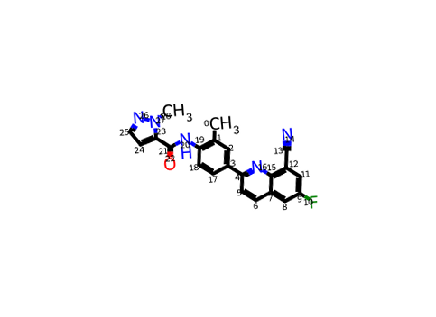 Cc1cc(-c2ccc3cc(F)cc(C#N)c3n2)ccc1NC(=O)c1ccnn1C